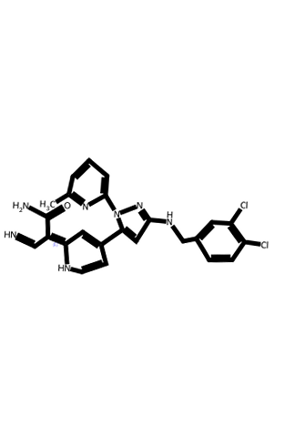 Cc1cccc(-n2nc(NCc3ccc(Cl)c(Cl)c3)cc2C2=C/C(=C(/C=N)C(N)=O)NC=C2)n1